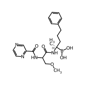 COCC(NC(=O)c1cnccn1)C(=O)N[C@@](C)(CCCc1ccccc1)B(O)O